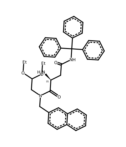 CCOC(CN(Cc1ccc2ccccc2c1)C(=O)[C@@H](N)CC(=O)NC(c1ccccc1)(c1ccccc1)c1ccccc1)OCC